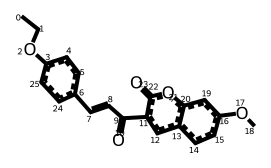 CCOc1ccc(C=CC(=O)c2cc3ccc(OC)cc3oc2=O)cc1